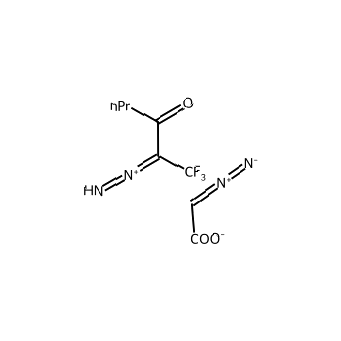 CCCC(=O)C(=[N+]=N)C(F)(F)F.[N-]=[N+]=CC(=O)[O-]